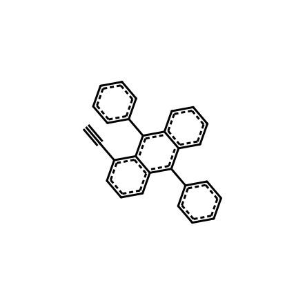 C#Cc1cccc2c(-c3ccccc3)c3ccccc3c(-c3ccccc3)c12